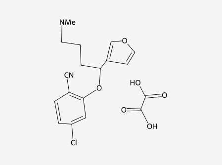 CNCCCC(Oc1cc(Cl)ccc1C#N)c1ccoc1.O=C(O)C(=O)O